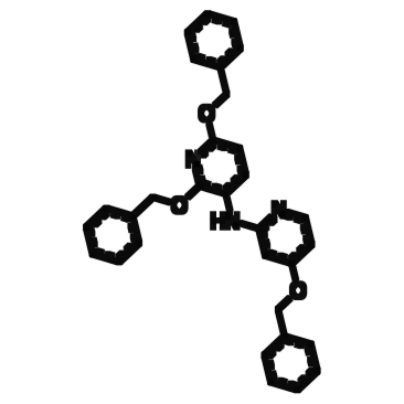 c1ccc(COc2ccnc(Nc3ccc(OCc4ccccc4)nc3OCc3ccccc3)c2)cc1